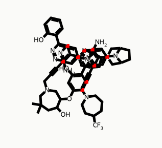 CC1(C)CC(O)C(Oc2ccc(-c3cc(N4CC5CCC(C4)N5c4ccnc(C#CCN5CCCC(C(F)(F)F)CC5)c4)c(N)nn3)c(O)c2)CN(CC#Cc2cc(N3C4CCC3CN(c3cc(-c5ccccc5O)nnc3N)C4)ccn2)C1